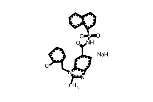 Cc1nc2ccc(C(=O)NS(=O)(=O)c3cccc4ccccc34)cc2n1Cc1ccccc1Cl.[NaH]